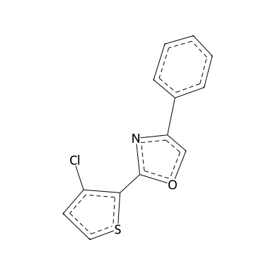 Clc1ccsc1-c1nc(-c2ccccc2)co1